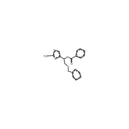 Nc1nc(C(COCc2ccccc2)OC(=O)c2ccccc2)cs1